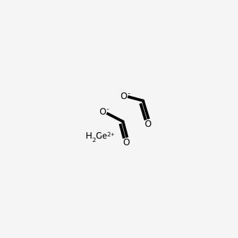 O=C[O-].O=C[O-].[GeH2+2]